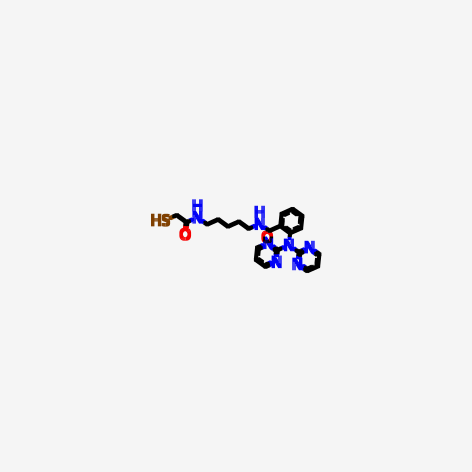 O=C(CS)NCCCCCNC(=O)c1ccccc1N(c1ncccn1)c1ncccn1